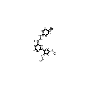 CCOc1cc(CCl)sc1-c1cc(NCCc2ccc(Br)cc2)ncn1